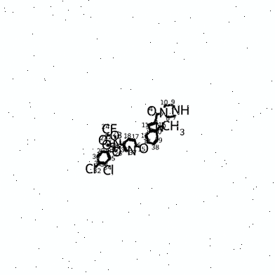 Cn1c(C(=O)N2CCNCC2)cc2cc(Oc3ccc(N(OC(=O)C(F)(F)F)S(=O)(=O)c4ccc(Cl)c(Cl)c4)cn3)ccc21